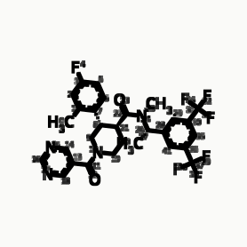 Cc1cc(F)ccc1[C@H]1CN(C(=O)c2cncnc2)CC[C@@H]1C(=O)N(C)[C@@H](C)c1cc(C(F)(F)F)cc(C(F)(F)F)c1